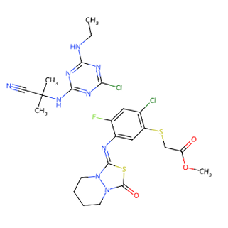 CCNc1nc(Cl)nc(NC(C)(C)C#N)n1.COC(=O)CSc1cc(/N=c2\sc(=O)n3n2CCCC3)c(F)cc1Cl